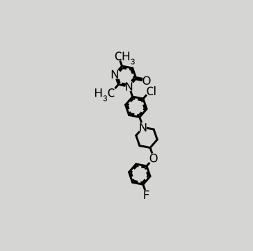 Cc1cc(=O)n(-c2ccc(N3CCC(Oc4cccc(F)c4)CC3)cc2Cl)c(C)n1